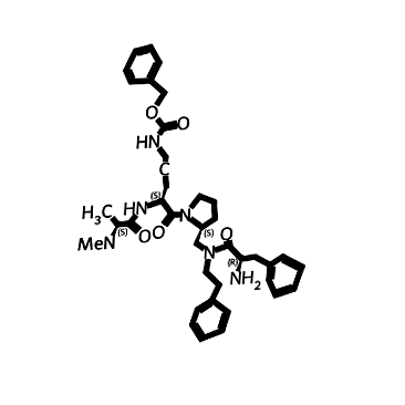 CN[C@@H](C)C(=O)N[C@@H](CCCNC(=O)OCc1ccccc1)C(=O)N1CCC[C@H]1CN(CCc1ccccc1)C(=O)[C@H](N)Cc1ccccc1